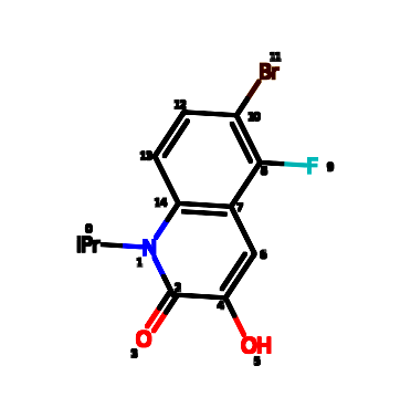 CC(C)n1c(=O)c(O)cc2c(F)c(Br)ccc21